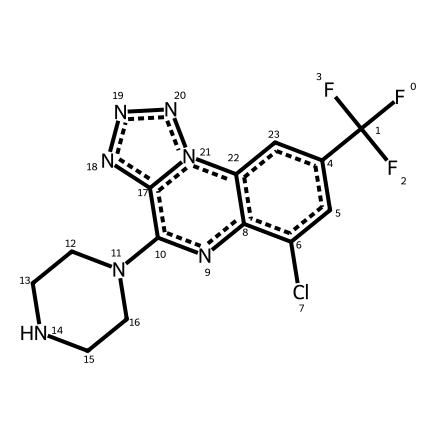 FC(F)(F)c1cc(Cl)c2nc(N3CCNCC3)c3nnnn3c2c1